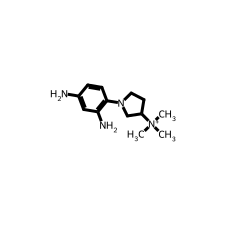 C[N+](C)(C)C1CCN(c2ccc(N)cc2N)C1